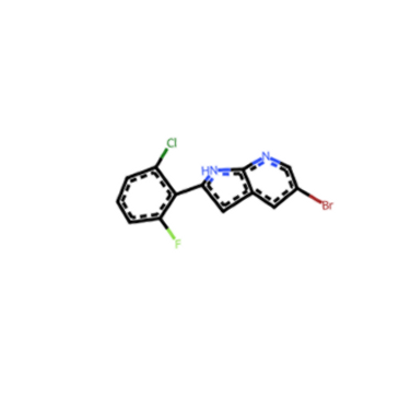 Fc1cccc(Cl)c1-c1cc2cc(Br)cnc2[nH]1